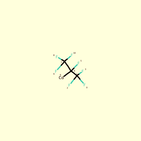 FC(F)(F)[C](F)([Cd])C(F)(F)F